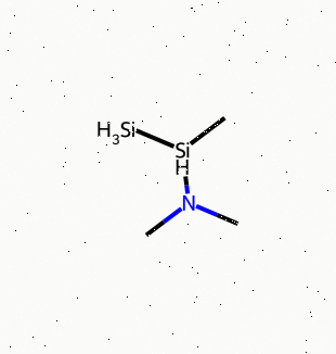 CN(C)[SiH](C)[SiH3]